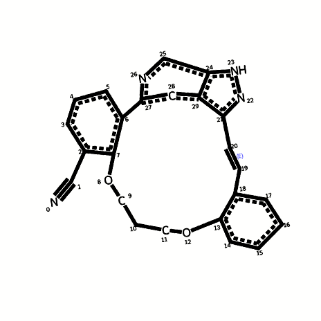 N#Cc1cccc2c1OCCCOc1ccccc1/C=C/c1n[nH]c3cnc-2cc13